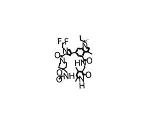 CC[C@H](C)n1cc(C)c2c(C(=O)NCc3c(C)cc(C)[nH]c3=O)cc(-c3cc(C(=O)N4CCC5(CC4)CNC(=O)O5)n(CC(F)F)c3)cc21